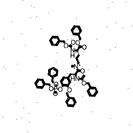 C=C(N[C@@H](Cc1ccc(OP(=O)(OCc2ccccc2)OCc2ccccc2)c(OCc2ccccc2)c1)C(=O)[N+](=C)CCC[C@H](NC(=O)OCc1ccccc1)C(=O)OCc1ccccc1)OCc1ccccc1